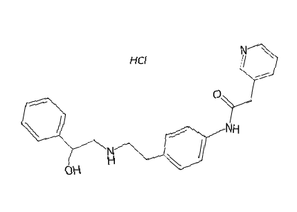 Cl.O=C(Cc1cccnc1)Nc1ccc(CCNCC(O)c2ccccc2)cc1